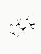 CN(C)C(=S)SSC(=S)N(C)C.CN(C)C(=S)SSC(=S)N(C)C.CN(C)C(=S)[S][Zn][S]C(=S)N(C)C